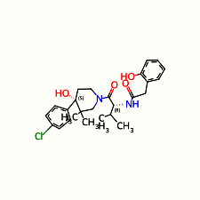 CC(C)[C@@H](NC(=O)Cc1ccccc1O)C(=O)N1CC[C@](O)(c2ccc(Cl)cc2)C(C)(C)C1